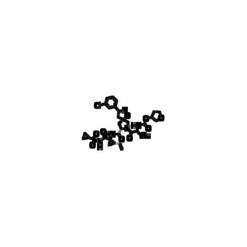 C=C[C@@H]1C[C@]1(NC(=O)[C@@H]1C[C@]2(CC(c3cccc(Cl)c3)=NO2)CN1C(=O)[C@@H](NC(=O)O[C@H]1CCOC1)C(C)(C)C)C(=O)NS(=O)(=O)C1CC1